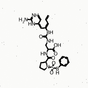 C=C/C=C(BC(=O)NCC(NC(=O)C1CCCN1S(=O)(=O)Bc1ccccc1)C(=O)O)\C=C(/C=C)NC(=N)N